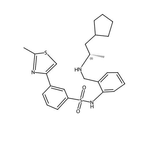 Cc1nc(-c2cccc(S(=O)(=O)Nc3ccccc3CN[C@@H](C)CC3CCCC3)c2)cs1